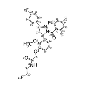 COc1c(OCC(=O)NCCF)cccc1C1CC(c2ccc(F)cc2)=NN1C(=O)c1c(F)cc(F)cc1F